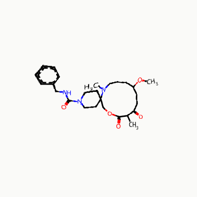 COC1CCCN(C)C2(CCN(C(=O)NCc3ccccc3)CC2)COC(=O)C(C)C(=O)CC1